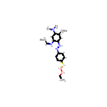 C=COOSc1ccc(N=Nc2cc(OC)c(N(CC)CC)cc2/N=C\OC)cc1